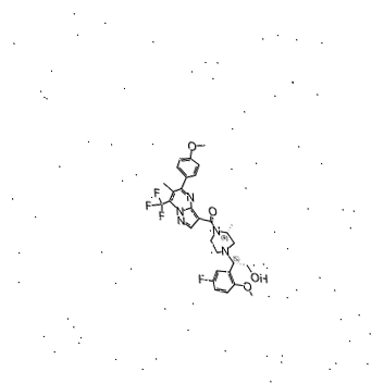 COc1ccc(-c2nc3c(C(=O)N4CCN([C@H](CO)c5cc(F)ccc5OC)C[C@H]4C)cnn3c(C(F)(F)F)c2C)cc1